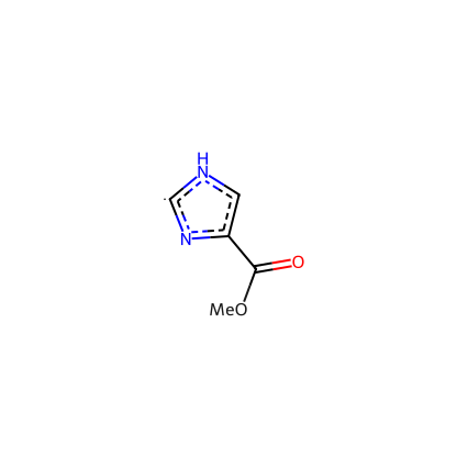 COC(=O)c1c[nH][c]n1